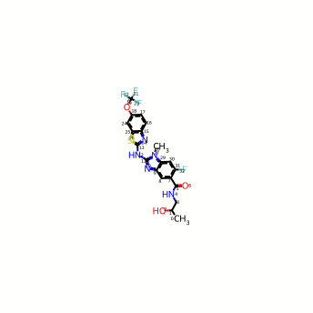 CC(O)CNC(=O)c1cc2nc(Nc3nc4ccc(OC(F)(F)F)cc4s3)n(C)c2cc1F